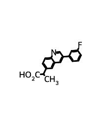 CC(C(=O)O)c1ccc2ncc(-c3cccc(F)c3)cc2c1